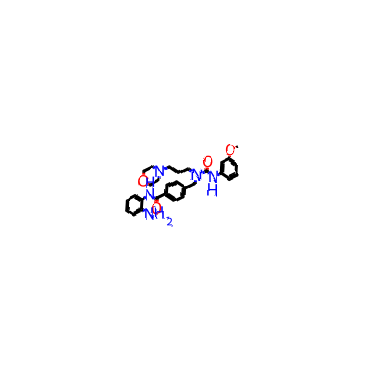 COc1cccc(NC(=O)N(CCCN2CCOCC2)Cc2ccc(C(=O)Nc3ccccc3N)cc2)c1